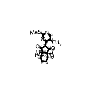 CSc1ncc(C)c(C2C(=O)[C@@H]3[C@H](C2=O)[C@H]2CC[C@@H]3O2)n1